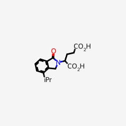 CC(C)c1cccc2c1CN(C(CCC(=O)O)C(=O)O)C2=O